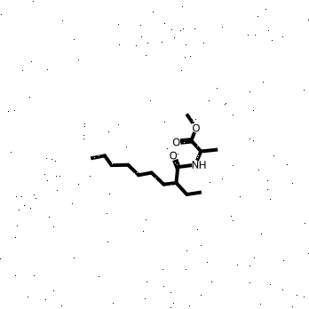 CCCCCCCC(CC)C(=O)NC(C)C(=O)OC